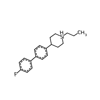 CCC[SiH]1CCC(c2ccc(-c3ccc(F)cc3)cc2)CC1